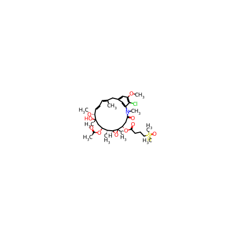 COc1cc2cc(c1Cl)N(C)C(=O)C[C@H](OC(=O)CCC[SH](C)(C)=O)[C@]1(C)O[C@H]1[C@H](C)[C@@H](OC(C)=O)C[C@](C)(O)[C@H](OC)/C=C/C=C(\C)C2